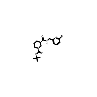 CC(C)(C)OC(=O)N1CCC[C@@H](C(=O)NCc2cccc(Br)n2)C1